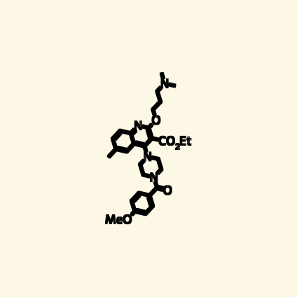 CCOC(=O)c1c(OCCCN(C)C)nc2ccc(C)cc2c1N1CCN(C(=O)c2ccc(OC)cc2)CC1